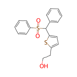 O=S(=O)(c1ccccc1)C(c1ccccc1)c1ccc(CCO)s1